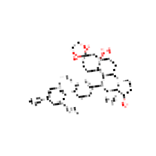 Cc1cc(C)c(-c2ccc(C3C[C@]4(C)C(=O)CCC4C4CC[C@@]5(O)CC6(CCC5=C34)OCCO6)cc2)c(C)c1